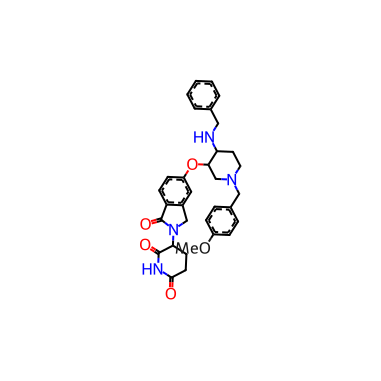 COc1ccc(CN2CCC(NCc3ccccc3)C(Oc3ccc4c(c3)CN(C3CCC(=O)NC3=O)C4=O)C2)cc1